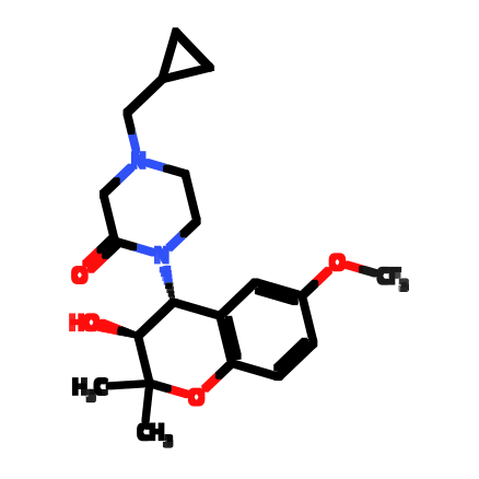 CC1(C)Oc2ccc(OC(F)(F)F)cc2[C@@H](N2CCN(CC3CC3)CC2=O)[C@@H]1O